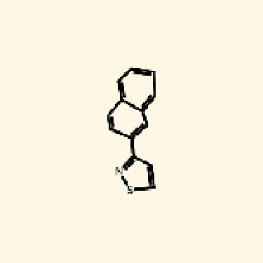 c1ccc2cc(-c3ccsn3)ccc2c1